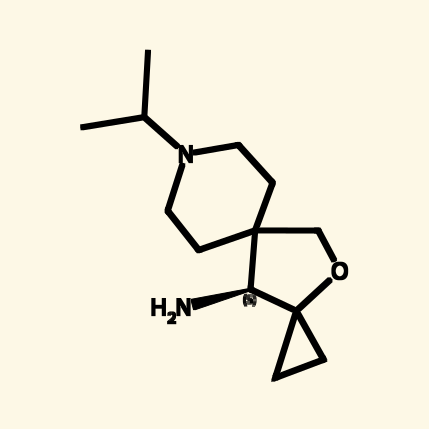 CC(C)N1CCC2(CC1)COC1(CC1)[C@H]2N